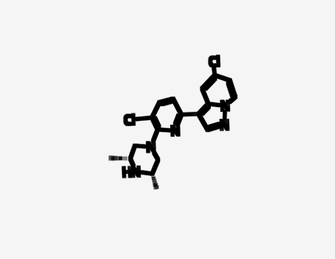 C[C@@H]1CN(c2nc(-c3cnn4ccc(Cl)cc34)ccc2Cl)C[C@H](C)N1